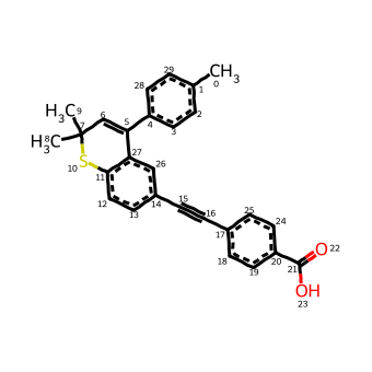 Cc1ccc(C2=CC(C)(C)Sc3ccc(C#Cc4ccc(C(=O)O)cc4)cc32)cc1